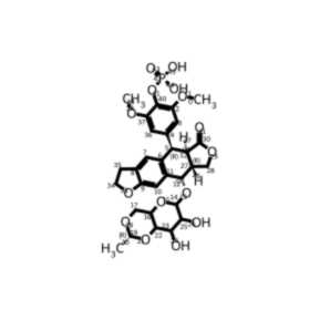 COc1cc([C@@H]2c3cc4c(cc3[C@@H](OC3OC5CO[C@@H](C)OC5C(O)C3O)[C@H]3COC(=O)[C@H]23)OCC4)cc(OC)c1OP(=O)(O)O